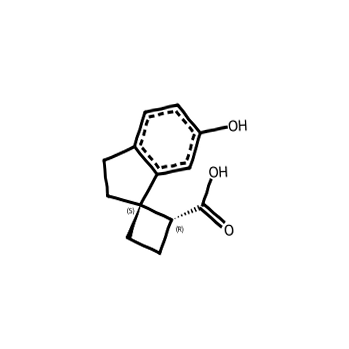 O=C(O)[C@@H]1CC[C@]12CCc1ccc(O)cc12